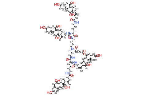 CCCCCCCCC(=O)N(CCCCNC(=O)C(CCCCNC(=O)CC[C@@H](C)C1CCC2C3C(O)CC4CC(O)CCC4(C)C3CC(O)C21C)NC(=O)CC[C@@H](C)C1CCC2C3C(O)CC4CC(O)CCC4(C)C3CC(O)C21C)CCCNC(=O)C(CCCCNC(=O)CC[C@@H](C)C1CCC2C3C(O)CC4CC(O)CCC4(C)C3CC(O)C21C)NC(=O)CC[C@@H](C)C1CC2CC3C(O)CC4CC(O)CCC4(C)C3CC2(O)C1C